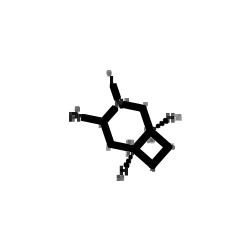 CC(C)C1C[C@@H]2CC[C@@H]2CN1I